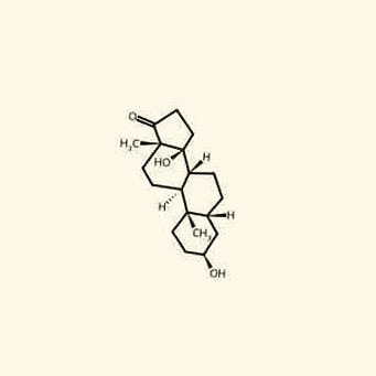 C[C@]12CC[C@H](O)C[C@H]1CC[C@@H]1[C@@H]2CC[C@]2(C)C(=O)CC[C@]12O